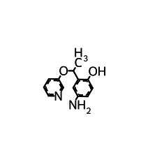 CC(Oc1cccnc1)c1cc(N)ccc1O